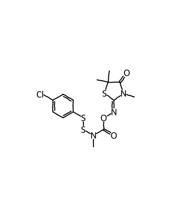 CN(SSc1ccc(Cl)cc1)C(=O)ON=C1SC(C)(C)C(=O)N1C